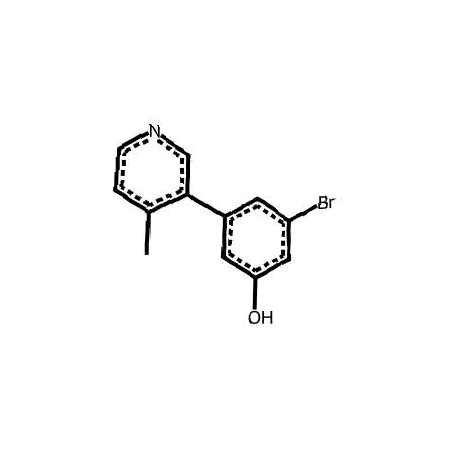 Cc1ccncc1-c1cc(O)cc(Br)c1